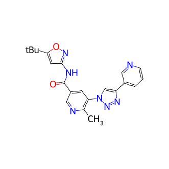 Cc1ncc(C(=O)Nc2cc(C(C)(C)C)on2)cc1-n1cc(-c2cccnc2)nn1